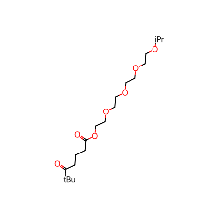 CC(C)OCCOCCOCCOCCOC(=O)CCCC(=O)C(C)(C)C